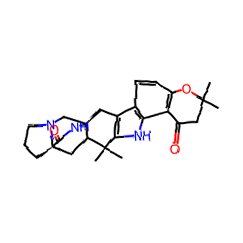 CC1(C)CC(=O)c2c(ccc3c4c([nH]c23)C(C)(C)C2C[C@]35CCCN3C[C@@]2(C4)NC5=O)O1